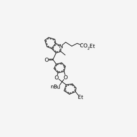 CCCCC1(c2ccc(CC)cc2)Oc2ccc(C(=O)c3c(C)n(CCCC(=O)OCC)c4ccccc34)cc2O1